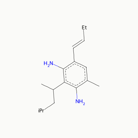 CCC=Cc1cc(C)c(N)c(C(C)CC(C)C)c1N